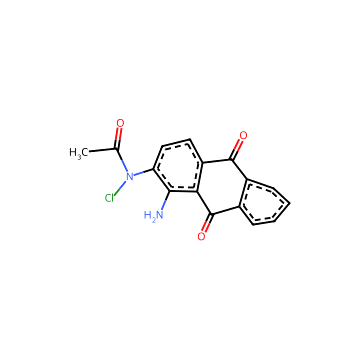 CC(=O)N(Cl)c1ccc2c(c1N)C(=O)c1ccccc1C2=O